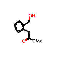 COC(=O)Cc1ccccc1CO